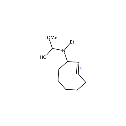 CCN(C1/C=C/CCCCC1)C(O)OC